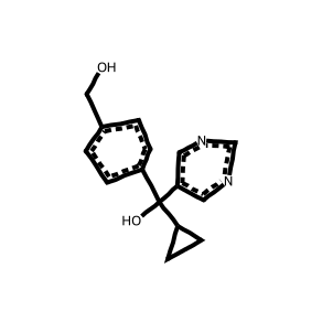 OCc1ccc(C(O)(c2cncnc2)C2CC2)cc1